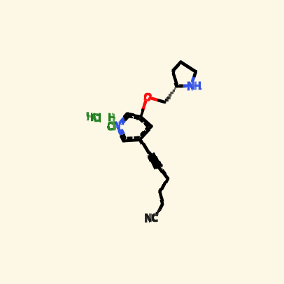 Cl.Cl.N#CCCCC#Cc1cncc(OC[C@@H]2CCCN2)c1